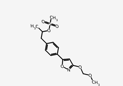 COCOc1cc(-c2ccc(CC(C)OS(C)(=O)=O)cc2)on1